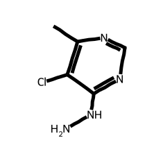 Cc1ncnc(NN)c1Cl